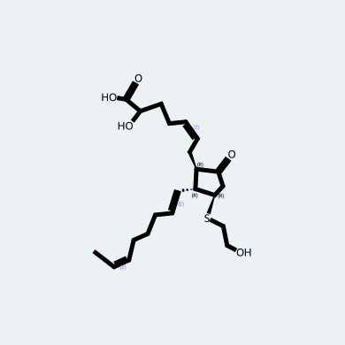 C/C=C\CCC/C=C/[C@H]1[C@H](SCCO)CC(=O)[C@@H]1C/C=C\CCC(O)C(=O)O